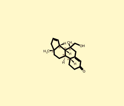 C[C@@]1(CO)CC2=CC(=O)CC[C@@H]2[C@H]2CC[C@]3(C)CC=C[C@@H]3[C@@H]21